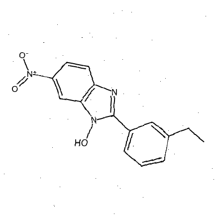 CCc1cccc(-c2nc3ccc([N+](=O)[O-])cc3n2O)c1